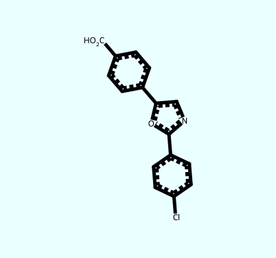 O=C(O)c1ccc(-c2cnc(-c3ccc(Cl)cc3)o2)cc1